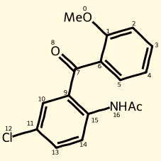 COc1ccccc1C(=O)c1cc(Cl)ccc1NC(C)=O